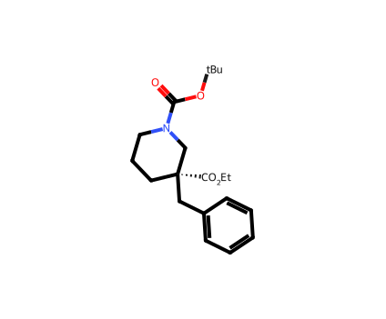 CCOC(=O)[C@]1(Cc2ccccc2)CCCN(C(=O)OC(C)(C)C)C1